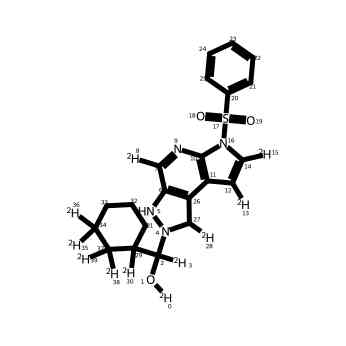 [2H]OC([2H])(N1Nc2c([2H])nc3c(c([2H])c([2H])n3S(=O)(=O)c3ccccc3)c2C1[2H])C1([2H])CCCC([2H])([2H])C1([2H])[2H]